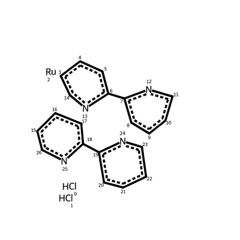 Cl.Cl.[Ru].c1ccc(-c2ccccn2)nc1.c1ccc(-c2ccccn2)nc1